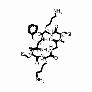 CN[C@@H](CS)C(=O)N[C@@H](CCCCN)C(=O)NCC(=O)N(C)[C@@H](CS)C(=O)N[C@@H](CCCCN)C(=O)N[C@@H](Cc1ccccc1)C(N)=O